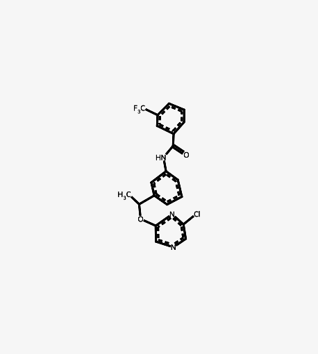 CC(Oc1cncc(Cl)n1)c1cccc(NC(=O)c2cccc(C(F)(F)F)c2)c1